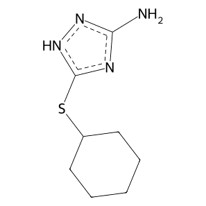 Nc1n[nH]c(SC2CCCCC2)n1